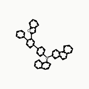 c1ccc(-c2ccc(-c3ccc(N(c4ccc5c(ccc6ccccc65)c4)c4cccc5ccccc45)cc3)cc2-c2cc3ccccc3o2)cc1